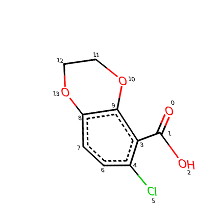 O=C(O)c1c(Cl)ccc2c1OCCO2